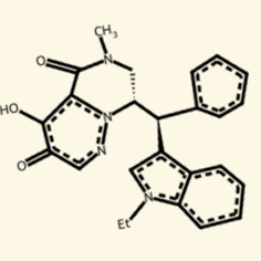 CCn1cc([C@H](c2ccccc2)[C@H]2CN(C)C(=O)c3c(O)c(=O)cnn32)c2ccccc21